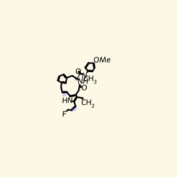 C=Cc1c(/C=C\CF)[nH]c2c1CC(=O)N[C@H](C(=O)N(C)c1ccc(OC)cc1)Cc1cccc(c1)C/C=C/2